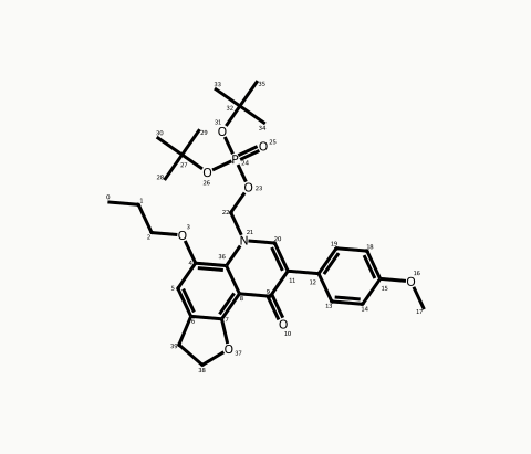 CCCOc1cc2c(c3c(=O)c(-c4ccc(OC)cc4)cn(COP(=O)(OC(C)(C)C)OC(C)(C)C)c13)OCC2